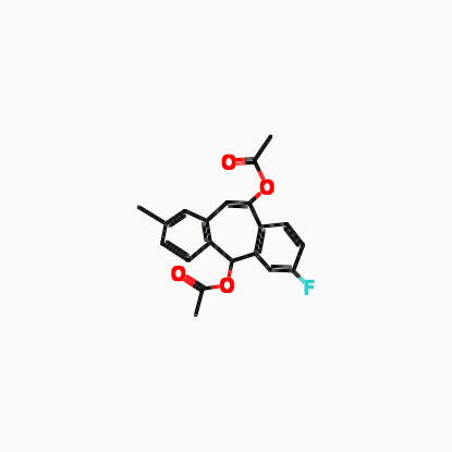 CC(=O)OC1=Cc2cc(C)ccc2C(OC(C)=O)c2cc(F)ccc21